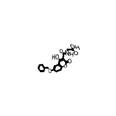 O=C(O)CNC(=O)c1c(O)c2cc(OCc3ccccc3)ccc2oc1=O